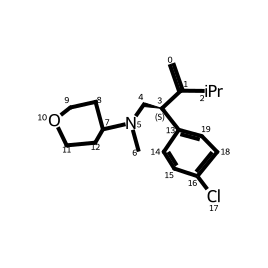 C=C(C(C)C)[C@H](CN(C)C1CCOCC1)c1ccc(Cl)cc1